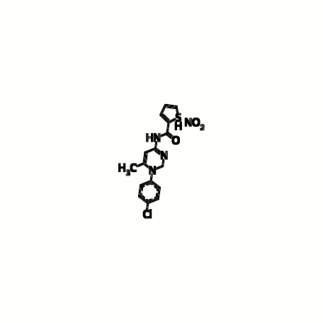 CC1=CC(NC(=O)C2=CC=C[SH]2[N+](=O)[O-])=NCN1c1ccc(Cl)cc1